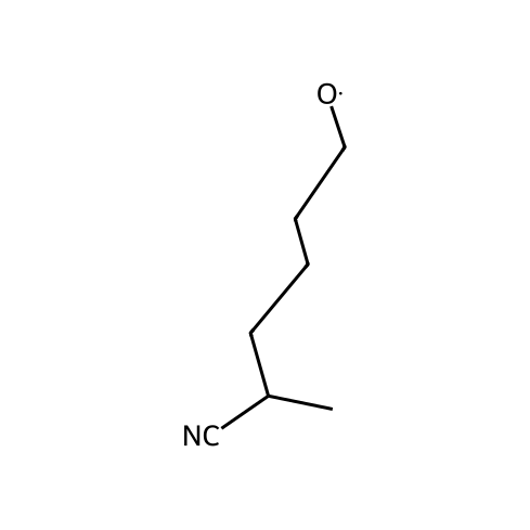 CC(C#N)CCCC[O]